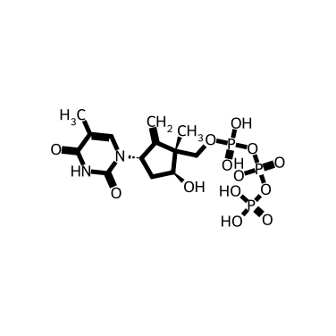 C=C1[C@@H](n2cc(C)c(=O)[nH]c2=O)C[C@H](O)[C@@]1(C)COP(=O)(O)OP(=O)(O)OP(=O)(O)O